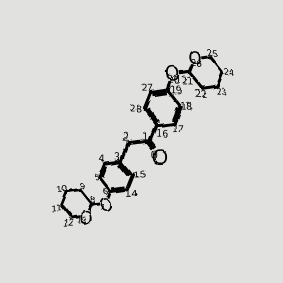 O=C(Cc1ccc(OC2CCCCO2)cc1)c1ccc(OC2CCCCO2)cc1